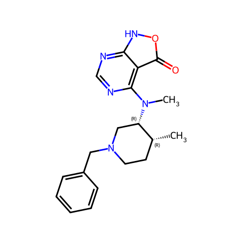 C[C@@H]1CCN(Cc2ccccc2)C[C@@H]1N(C)c1ncnc2[nH]oc(=O)c12